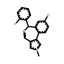 Cn1cc2c(c1)-c1ccc(Cl)cc1C(c1ccccc1F)N=C2